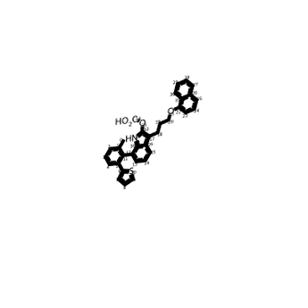 Cc1cccc(-c2cccs2)c1-c1cccc2c(CCCOc3cccc4ccccc34)c(OC(=O)O)[nH]c12